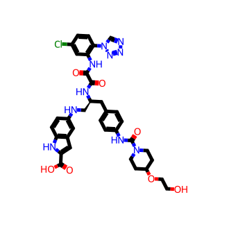 O=C(Nc1cc(Cl)ccc1-n1cnnn1)C(=O)N[C@H](CNc1ccc2[nH]c(C(=O)O)cc2c1)Cc1ccc(NC(=O)N2CCC(OCCO)CC2)cc1